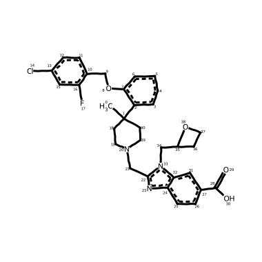 CC1(c2ccccc2OCc2ccc(Cl)cc2F)CCN(Cc2nc3ccc(C(=O)O)cc3n2CC2CCO2)CC1